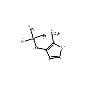 CC(C)[Si](Oc1ccsc1C(=O)O)(C(C)C)C(C)C